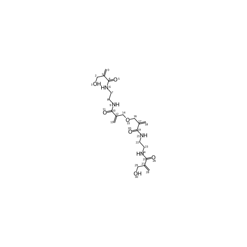 C=C(CO)C(=O)NCCNC(=O)C(=C)COCC(=C)C(=O)NCCNC(=O)C(=C)CO